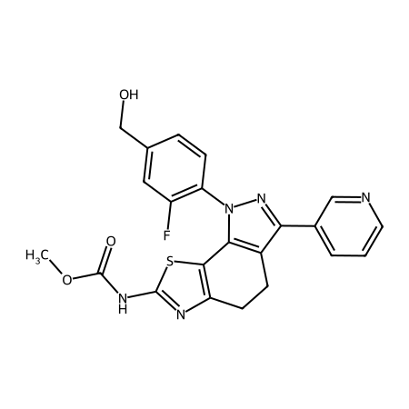 COC(=O)Nc1nc2c(s1)-c1c(c(-c3cccnc3)nn1-c1ccc(CO)cc1F)CC2